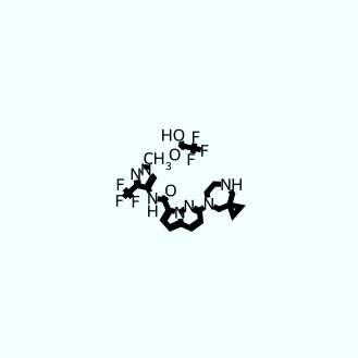 Cn1cc(NC(=O)c2ccc3ccc(N4CCNCC5(CC5)C4)nn23)c(C(F)(F)F)n1.O=C(O)C(F)(F)F